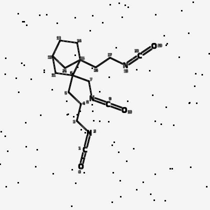 O=C=NCCCC1(CN=C=O)CC2CCC1(CCN=C=O)C2